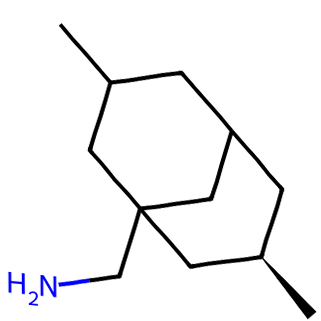 CC1CC2C[C@@H](C)CC(CN)(C1)C2